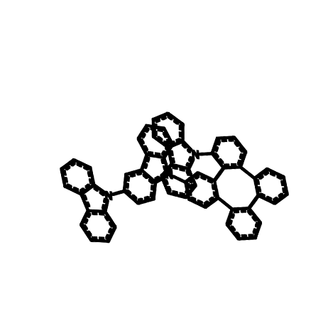 c1ccc2c(c1)-c1ccccc1-c1cccc(-n3c4ccccc4c4ccccc43)c1-c1cc(-n3c4ccccc4c4cc(-n5c6ccccc6c6ccccc65)ccc43)ccc1-2